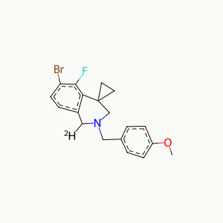 [2H]C1c2ccc(Br)c(F)c2C2(CC2)CN1Cc1ccc(OC)cc1